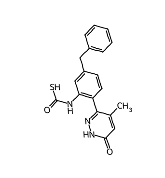 Cc1cc(=O)[nH]nc1-c1ccc(Cc2ccccc2)cc1NC(=O)S